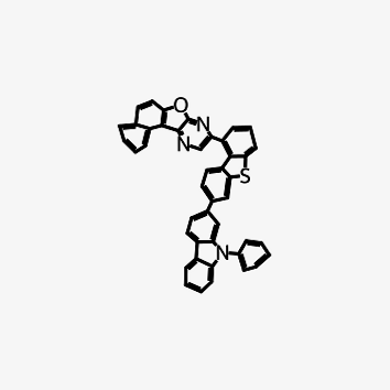 c1ccc(-n2c3ccccc3c3ccc(-c4ccc5c(c4)sc4cccc(-c6cnc7c(n6)oc6ccc8ccccc8c67)c45)cc32)cc1